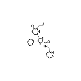 C=CCn1nc(-c2sc(C(=O)NCc3ccccn3)nc2-c2ccccc2)ccc1=O